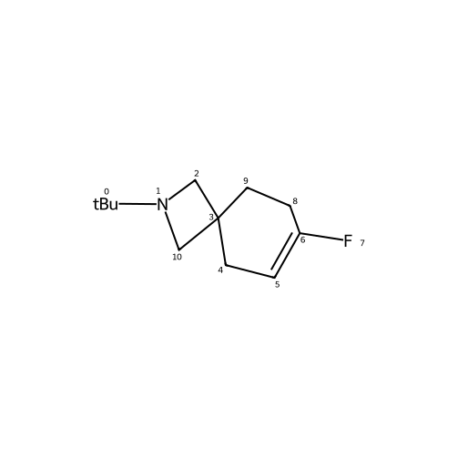 CC(C)(C)N1CC2(CC=C(F)CC2)C1